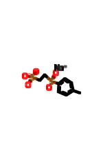 Cc1ccc(S(=O)(=O)CCS(=O)(=O)[O-])cc1.[Na+]